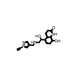 C#Cn1cc(CNCC(O)c2ccc(O)c3[nH]c(=O)ccc23)cn1